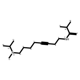 C=C(NCCC#CCCCCN(C)C(C)C)C(C)C